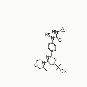 C[C@H]1COCCN1c1cc(C(C)(C)O)nc(-c2ccc(N(S)C(=O)NC3CC3)cc2)n1